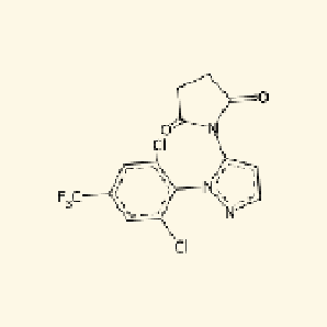 O=C1CCC(=O)N1c1ccnn1-c1c(Cl)cc(C(F)(F)F)cc1Cl